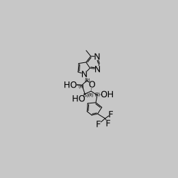 Cc1ncnc2c1ccn2[C@@H]1O[C@H]([C@H](O)c2cccc(C(F)(F)F)c2)[C@@H](O)[C@H]1O